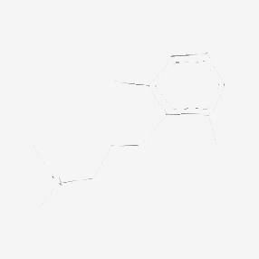 Cc1c[c]cc(C)c1OCCN(C)C